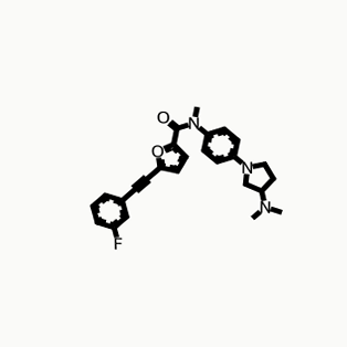 CN(C(=O)c1ccc(C#Cc2cccc(F)c2)o1)c1ccc(N2CCC(N(C)C)C2)cc1